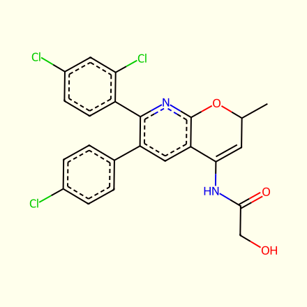 CC1C=C(NC(=O)CO)c2cc(-c3ccc(Cl)cc3)c(-c3ccc(Cl)cc3Cl)nc2O1